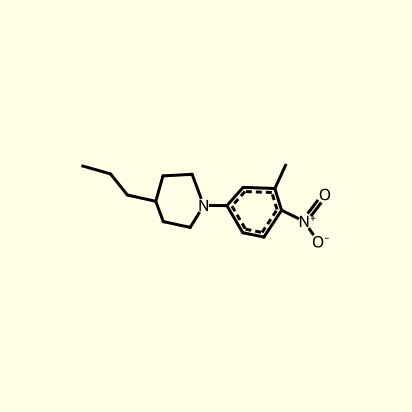 CCCC1CCN(c2ccc([N+](=O)[O-])c(C)c2)CC1